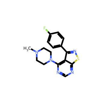 CN1CCN(c2ncnc3snc(-c4ccc(F)cc4)c23)CC1